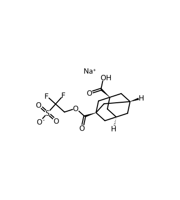 O=C(O)[C@]12C[C@H]3C[C@@H](C1)C[C@](C(=O)OCC(F)(F)S(=O)(=O)[O-])(C3)C2.[Na+]